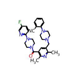 Cc1nc(C)c(C(=O)N2CCN(c3ccc(F)cn3)CC2)cc1CN1CCN(c2ccccc2C#N)CC1